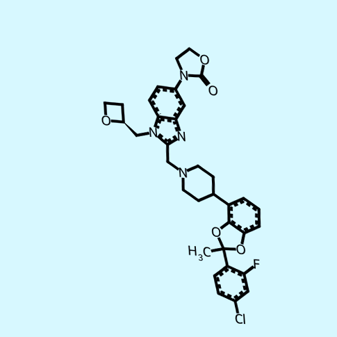 CC1(c2ccc(Cl)cc2F)Oc2cccc(C3CCN(Cc4nc5cc(N6CCOC6=O)ccc5n4C[C@@H]4CCO4)CC3)c2O1